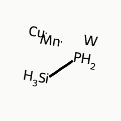 [Cu].[Mn].[SiH3]P.[W]